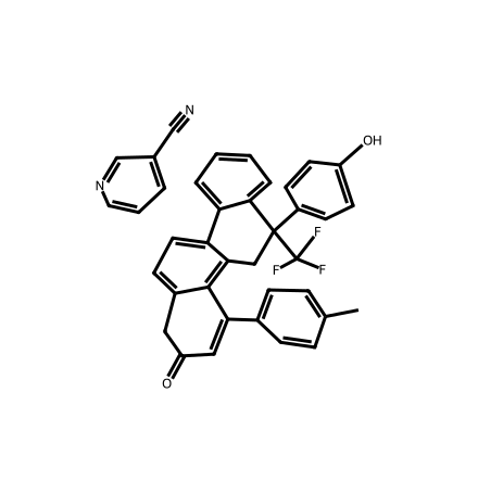 Cc1ccc(C2=CC(=O)Cc3ccc4c(c32)CC(c2ccc(O)cc2)(C(F)(F)F)c2ccccc2-4)cc1.N#Cc1cccnc1